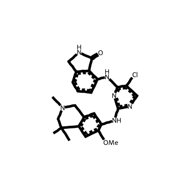 COc1cc2c(cc1Nc1ncc(Cl)c(Nc3cccc4c3C(=O)NC4)n1)CN(C)CC2(C)C